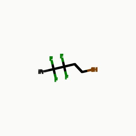 CC(C)C(F)(F)C(F)(F)CCS